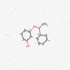 CC(Oc1cccc([O])c1)c1ccccc1